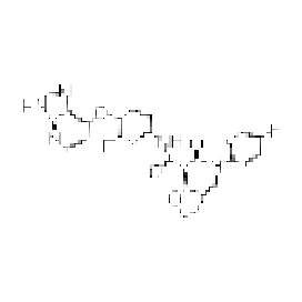 O=C(Nc1ccc(Oc2ccnc3[nH]cnc23)c(F)c1)c1c2c(cn(-c3ccc(F)cc3)c1=O)CCO2